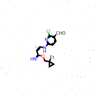 CCC1(COC(=N)/C=C\Nc2ccc(C=O)c(Cl)n2)CC1